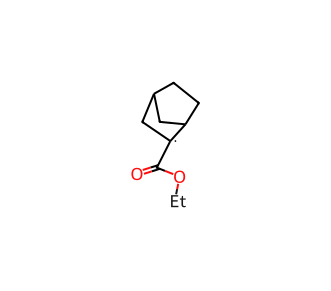 CCOC(=O)[C]1CC2CCC1C2